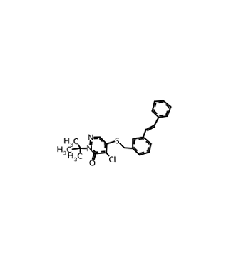 CC(C)(C)n1ncc(SCc2cccc(C=Cc3ccccc3)c2)c(Cl)c1=O